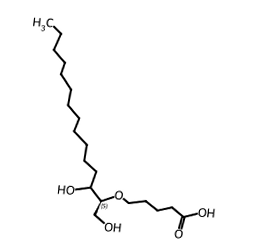 CCCCCCCCCCCCC(O)[C@H](CO)OCCCCC(=O)O